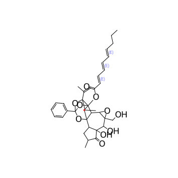 C=C(C)C12OC3(c4ccccc4)OC1C1C4OC4(CO)C(O)C4(O)C(=O)C(C)CC4C1(O3)C(C)C2OC(=O)/C=C/C=C/C=C/CCC